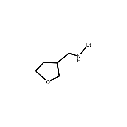 CCNCC1CCOC1